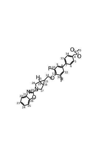 CS(=O)(=O)c1ccc(-c2cc(F)c(OCC3C4CN(c5nc6ccccc6o5)C[C@H]34)c(F)c2)cc1